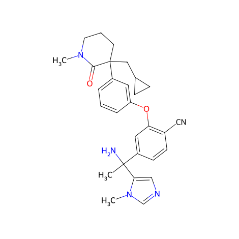 CN1CCCC(CC2CC2)(c2cccc(Oc3cc(C(C)(N)c4cncn4C)ccc3C#N)c2)C1=O